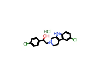 Cl.OC(CN1CCc2c([nH]c3ccc(Cl)cc23)C1)c1ccc(Cl)cc1